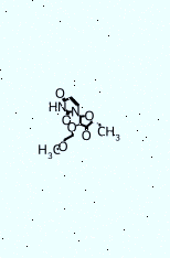 CC[C@H]1O[C@@H](n2ccc(=O)[nH]c2=O)[C@H](OCCOC)C1=O